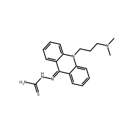 CN(C)CCCn1c2ccccc2c(=NNC(N)=S)c2ccccc21